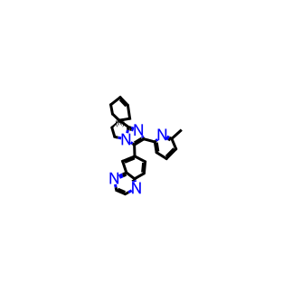 Cc1cccc(-c2nc3n(c2-c2ccc4nccnc4c2)CC[C@@]32CC=CCC2)n1